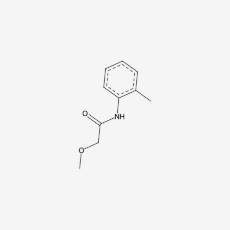 COCC(=O)Nc1ccccc1C